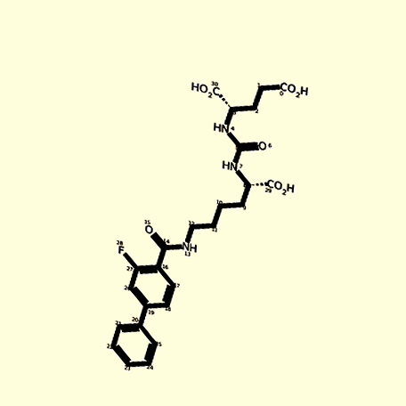 O=C(O)CC[C@H](NC(=O)N[C@@H](CCCCNC(=O)c1ccc(-c2ccccc2)cc1F)C(=O)O)C(=O)O